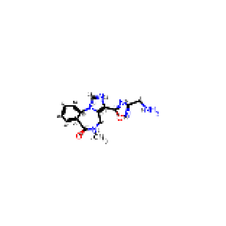 CN1Cc2c(-c3nc(CN)no3)ncn2-c2ccccc2C1=O